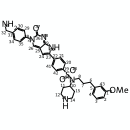 COc1cccc(CCCN(C2CCNCC2)S(=O)(=O)c2ccc(-c3cc4cn(-c5ccc(CN)cc5)c(=O)nc4[nH]3)cc2)c1